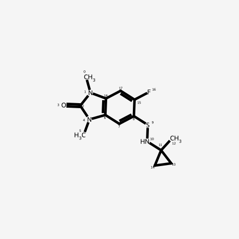 Cn1c(=O)n(C)c2cc(SNC3(C)CC3)c(F)cc21